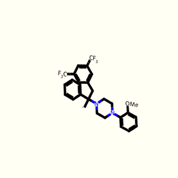 [CH2]C(Cc1cc(C(F)(F)F)cc(C(F)(F)F)c1)(c1ccccc1)N1CCN(c2ccccc2OC)CC1